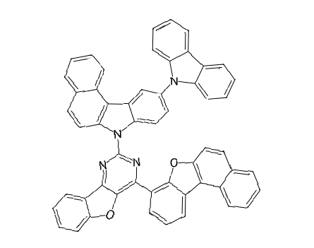 c1ccc2c(c1)ccc1oc3c(-c4nc(-n5c6ccc(-n7c8ccccc8c8ccccc87)cc6c6c7ccccc7ccc65)nc5c4oc4ccccc45)cccc3c12